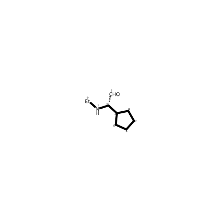 CCN[C@H](C=O)C1CCCC1